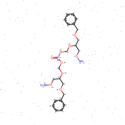 NOCC(COCc1ccccc1)OCO[PH](=O)OCOC(CON)COCc1ccccc1